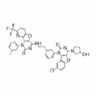 Cc1cccc(-n2c(=O)nc(NCCc3cccc(-n4c(=O)nc(N5CCC(O)C5)c5oc6ccc(Cl)cc6c54)c3)c3oc4ccc(C(F)(F)F)nc4c32)c1